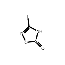 O=S1NC(I)=NO1